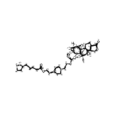 CC(C)[C@]12O[C@H]1[C@@H]1O[C@]13[C@]1(O[C@H]1C[C@H]1C4=C(CC[C@@]13C)C(=O)OC4)[C@@H]2OC(=O)OCCN1CCN(CCOC(=O)CCCCC2CCSS2)CC1